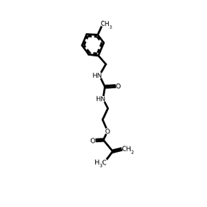 C=C(C)C(=O)OCCNC(=O)NCc1cccc(C)c1